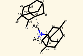 CC(=O)N(C(C)=O)C12CC3CC(C)(CC(C)(C3)C1)C2.CC1C2CC3CC(C2)CC1(C)C3